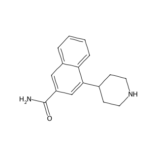 NC(=O)c1cc(C2CCNCC2)c2ccccc2c1